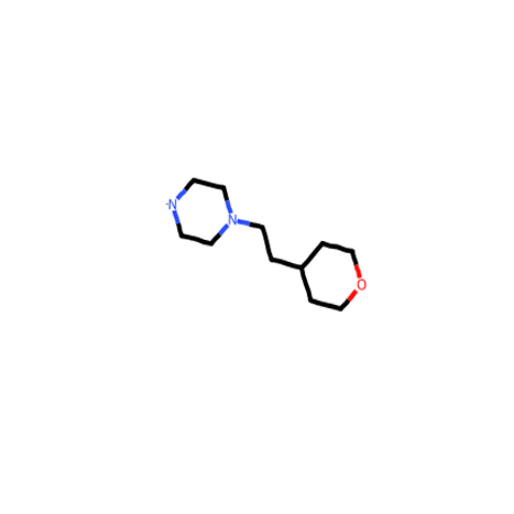 C1CN(CCC2CCOCC2)CC[N]1